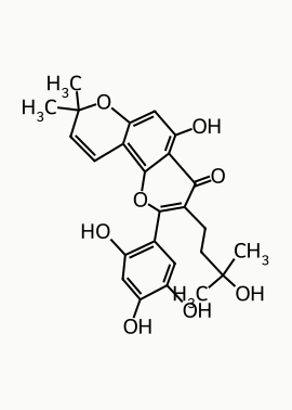 CC(C)(O)CCc1c(-c2cc(O)c(O)cc2O)oc2c3c(cc(O)c2c1=O)OC(C)(C)C=C3